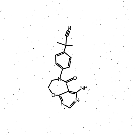 CC(C)(C#N)c1ccc(N2CCOc3ncnc(N)c3C2=O)cc1